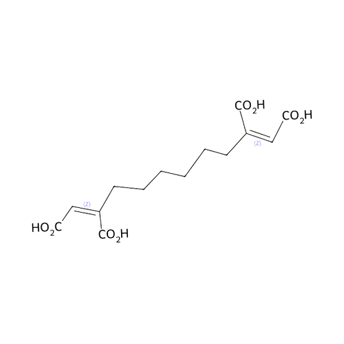 O=C(O)/C=C(/CCCCCC/C(=C/C(=O)O)C(=O)O)C(=O)O